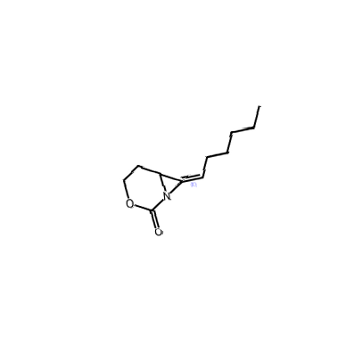 CCCCC/C=C1\C2CCOC(=O)N12